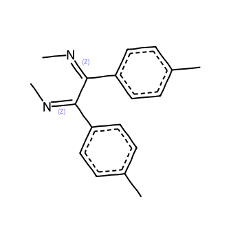 C/N=C(\C(=N/C)c1ccc(C)cc1)c1ccc(C)cc1